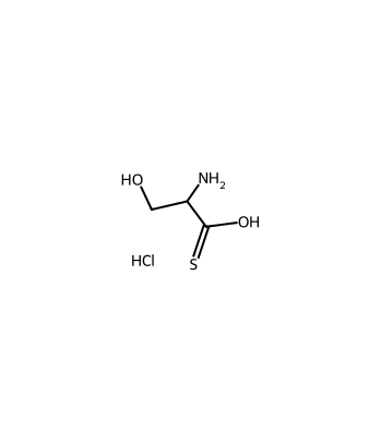 Cl.NC(CO)C(O)=S